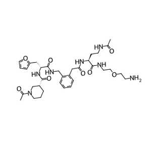 CC(=O)NCC[C@H](NC(=O)Cc1ccccc1CNC(=O)[C@@H](Cc1ccco1)NC(=O)[C@@H]1CCCN(C(C)=O)C1)C(=O)NCCOCCN